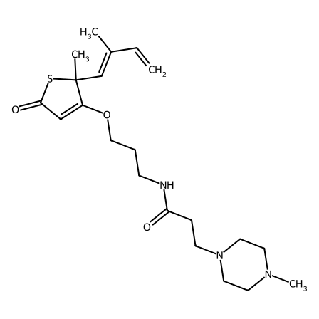 C=C/C(C)=C/C1(C)SC(=O)C=C1OCCCNC(=O)CCN1CCN(C)CC1